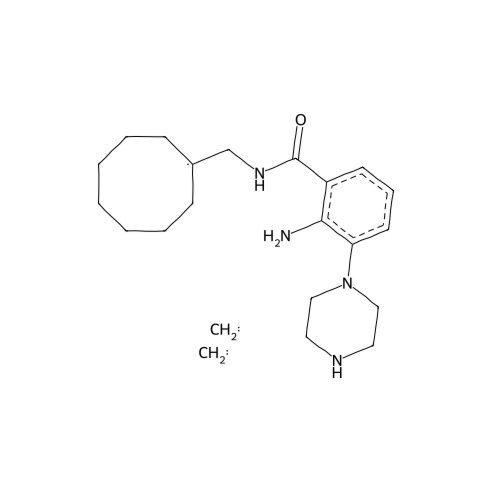 Nc1c(C(=O)NC[C]2CCCCCCC2)cccc1N1CCNCC1.[CH2].[CH2]